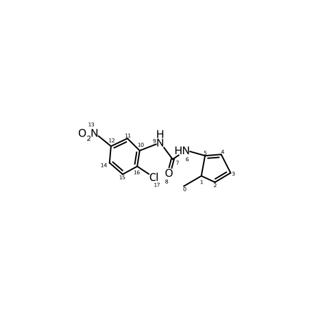 CC1C=CC=C1NC(=O)Nc1cc([N+](=O)[O-])ccc1Cl